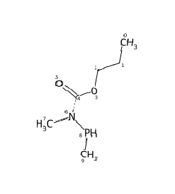 CCCOC(=O)N(C)PC